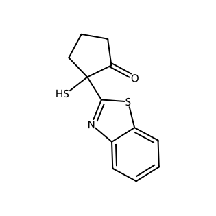 O=C1CCCC1(S)c1nc2ccccc2s1